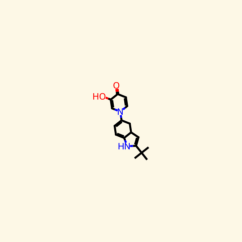 CC(C)(C)C1=CC2CC(n3ccc(=O)c(O)c3)=CC=C2N1